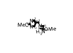 COc1ncc(CN2CC(N)(OC)C2)cn1